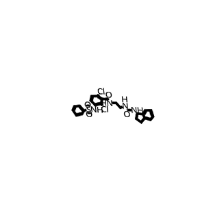 O=C(NCCNC(=O)c1c(Cl)ccc(NS(=O)(=O)c2ccccc2)c1Cl)N[C@@H]1CCc2ccccc21